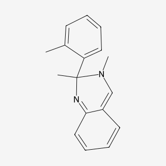 Cc1ccccc1C1(C)N=c2ccccc2=CN1C